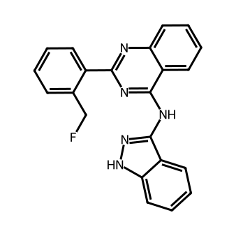 FCc1ccccc1-c1nc(Nc2n[nH]c3ccccc23)c2ccccc2n1